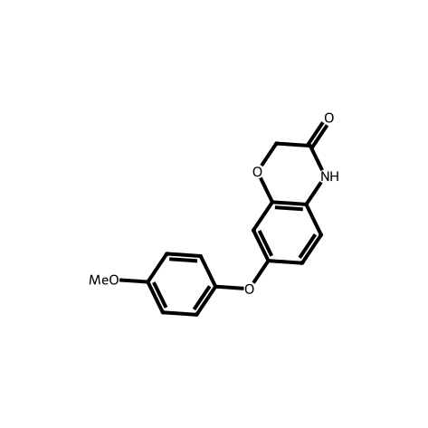 COc1ccc(Oc2ccc3c(c2)OCC(=O)N3)cc1